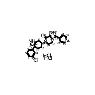 Cl.Cl.NC[C@]1(c2cccc(Cl)c2)CC[C@@H](N2CCn3c(nnc3-c3ccncc3)C2=O)CC1